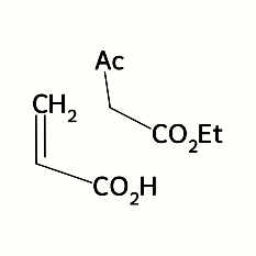 C=CC(=O)O.CCOC(=O)CC(C)=O